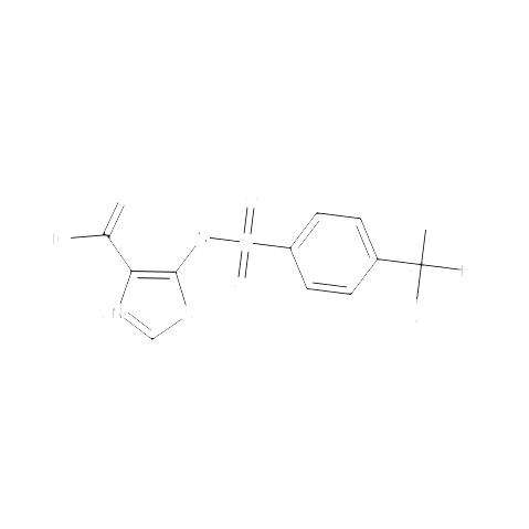 O=C(O)c1ncsc1NS(=O)(=O)c1ccc(C(F)(F)F)cc1